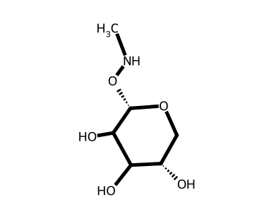 CNO[C@@H]1OC[C@H](O)C(O)C1O